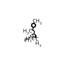 CC(C)=CC(CNCC(C)C)C[C@H](C)c1ccc(C)cc1